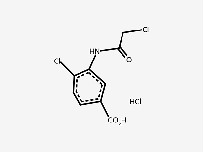 Cl.O=C(CCl)Nc1cc(C(=O)O)ccc1Cl